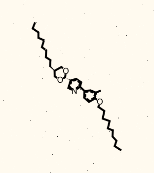 CCCCCCCCCCOc1ccc(-c2ccc([C@H]3OC[C@H](CCCCCCCCCC)CO3)cn2)cc1C